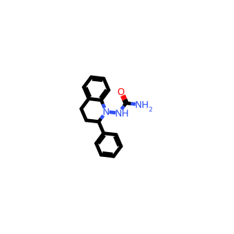 NC(=O)NN1c2ccccc2CCC1c1ccccc1